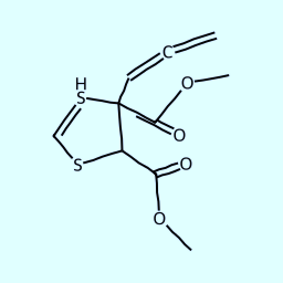 C=C=CC1(C(=O)OC)[SH]=CSC1C(=O)OC